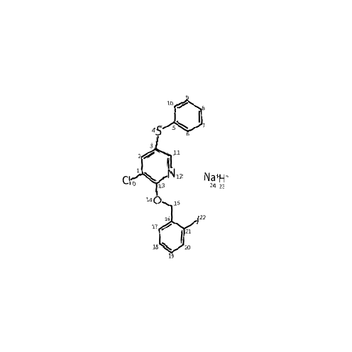 Clc1cc(Sc2ccccc2)cnc1OCc1ccccc1I.[H-].[Na+]